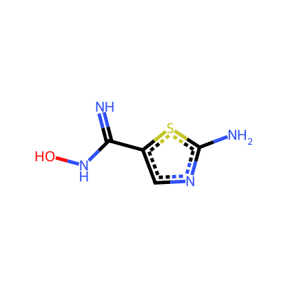 N=C(NO)c1cnc(N)s1